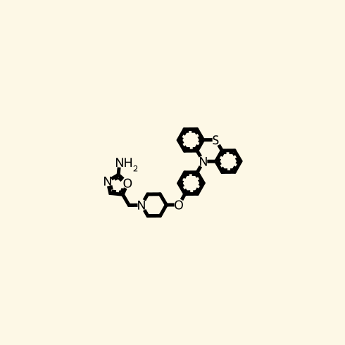 Nc1ncc(CN2CCC(Oc3ccc(N4c5ccccc5Sc5ccccc54)cc3)CC2)o1